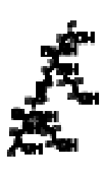 C[C@H](O)CNC(=O)[C@H](CSSSC[C@H](NCCCO)C(=O)NC[C@H](C)O)NCCCO